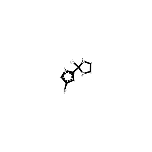 CCC1(c2cc(Br)cs2)OCCO1